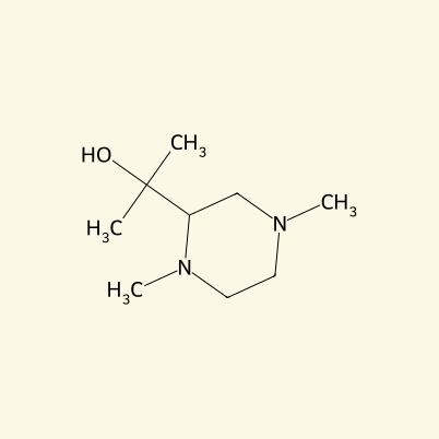 CN1CCN(C)C(C(C)(C)O)C1